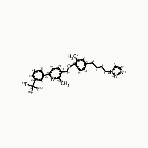 Cc1cc(CCCCn2ccnn2)ccc1OCc1ccc(-c2cccc(C(F)(F)F)c2)nc1C